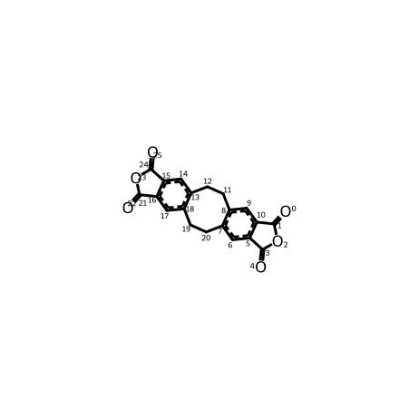 O=C1OC(=O)c2cc3c(cc21)CCc1cc2c(cc1CC3)C(=O)OC2=O